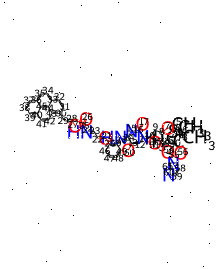 CC(C)(C)[Si](C)(C)O[C@@H]1C[C@H](n2cc3c(nc2=O)Nc2c(OCCNC(=O)OCCc4ccc5ccc6cccc7ccc4c5c67)cccc2O3)O[C@@H]1COC(=O)n1ccnc1